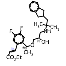 CCOC(=O)/C=C/c1cc(F)c(F)cc1[C@@H](C)OC[C@H](O)CNC(C)(C)CC1Cc2ccccc2C1